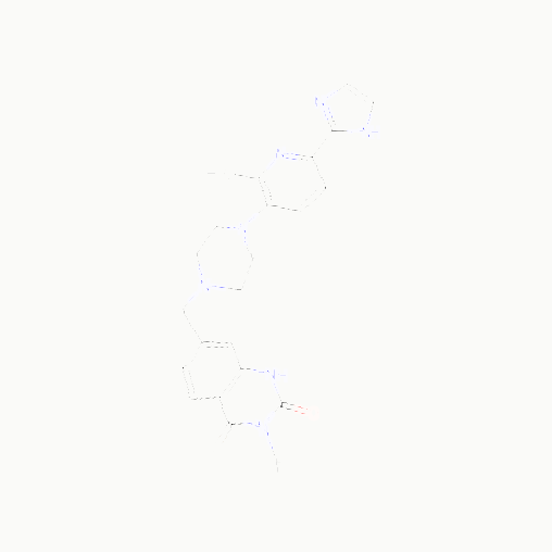 CCn1c(=O)[nH]c2cc(CN3CCN(c4ccc(-c5ncc[nH]5)nc4C)CC3)ccc2c1=S